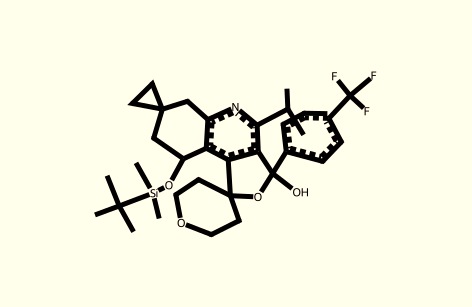 CC(C)c1nc2c(c3c1C(O)(c1ccc(C(F)(F)F)cc1)OC31CCOCC1)C(O[Si](C)(C)C(C)(C)C)CC1(CC1)C2